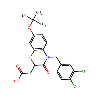 CC(C)(C)Oc1ccc2c(c1)SC(CC(=O)O)C(=O)N2Cc1ccc(Cl)c(Cl)c1